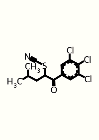 CC(C)CC(SC#N)C(=O)c1cc(Cl)c(Cl)c(Cl)c1